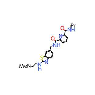 CNCCNc1nc2ccc(CNC(=O)c3cccc(C(=O)NC(C)C)n3)cc2s1